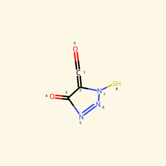 O=C=C1C(=O)N=NN1S